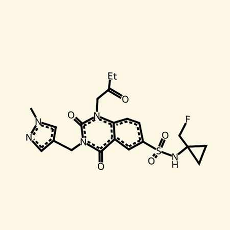 CCC(=O)Cn1c(=O)n(Cc2cnn(C)c2)c(=O)c2cc(S(=O)(=O)NC3(CF)CC3)ccc21